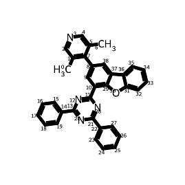 Cc1cncc(C)c1-c1cc(-c2nc(-c3ccccc3)nc(-c3ccccc3)n2)c2oc3ccccc3c2c1